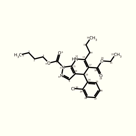 CCCCOC(=O)n1ncc2c1NC(CCC)=C(C(=O)OCC)C2c1ccccc1Cl